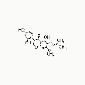 COc1cc2c(c(O)c1CC=C(C)C)C(=O)C(c1ccc(O)cc1O)CO2